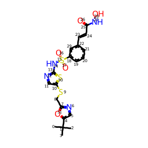 CC(C)(C)c1cnc(CSc2cnc(NS(=O)(=O)c3cccc(C=CC(=O)NO)c3)s2)o1